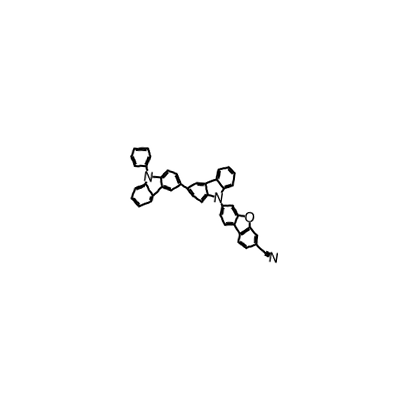 N#Cc1ccc2c(c1)oc1cc(-n3c4ccccc4c4cc(-c5ccc6c(c5)c5ccccc5n6-c5ccccc5)ccc43)ccc12